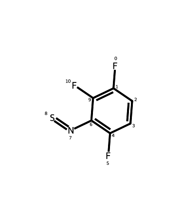 Fc1ccc(F)c(N=S)c1F